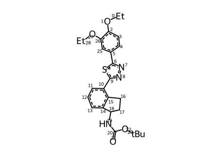 CCOc1ccc(-c2nnc(-c3cccc4c3CCC4NC(=O)OC(C)(C)C)s2)cc1OCC